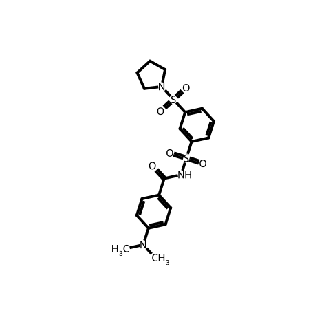 CN(C)c1ccc(C(=O)NS(=O)(=O)c2cccc(S(=O)(=O)N3CCCC3)c2)cc1